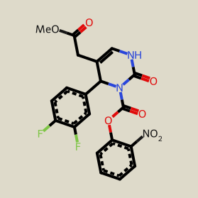 COC(=O)CC1=CNC(=O)N(C(=O)Oc2ccccc2[N+](=O)[O-])C1c1ccc(F)c(F)c1